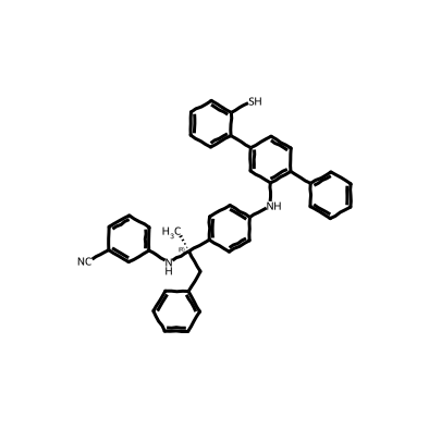 C[C@](Cc1ccccc1)(Nc1cccc(C#N)c1)c1ccc(Nc2cc(-c3ccccc3S)ccc2-c2ccccc2)cc1